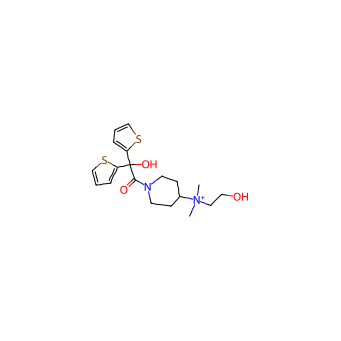 C[N+](C)(CCO)C1CCN(C(=O)C(O)(c2cccs2)c2cccs2)CC1